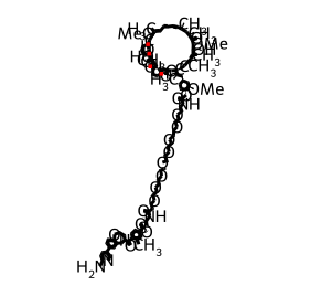 CO[C@H]1C[C@@H]2CC[C@@H](C)[C@@](O)(O2)C(=O)C(=O)N2CCCC[C@H]2C(=O)O[C@H]([C@H](C)C[C@@H]2CC[C@@H](OC(=O)NCCOCCOCCOCCOCCOCCOCCOCCOCCC(=O)NCCS(=O)(=O)c3ccc(C(=O)N4CCOc5ccc(-c6ccc(N)nc6)cc5C4)c(C)c3)[C@H](OC)C2)CC[C@H](C)/C=C(\C)[C@@H](O)[C@@H](OC)C(=O)[C@H](C)C[C@H](C)/C=C/C=C/C=C/1C